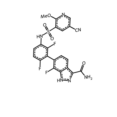 COc1ncc(C#N)cc1S(=O)(=O)Nc1ccc(F)c(-c2ccc3c(C(N)=O)n[nH]c3c2F)c1F